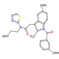 COCCN(C(=O)Cc1c(C)n(C(=O)c2cccc(OC)c2)c2ccc(OC)cc12)c1nccs1